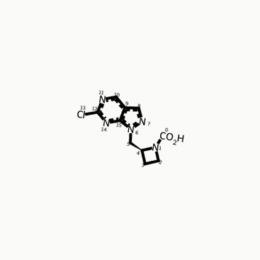 O=C(O)N1CC[C@H]1Cn1ncc2cnc(Cl)nc21